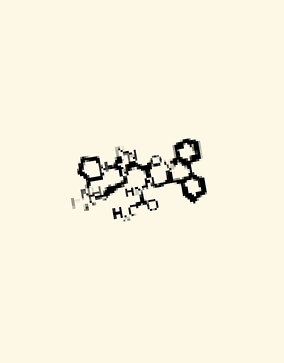 CC#CCn1c(C(=O)N(Cc2nc3ccccc3c3ccccc23)NC(C)=O)nnc1N1CCCC(N)C1